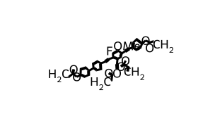 C=CC(=O)OC#Cc1c(C#Cc2ccc(-c3ccc(OC(=O)C=C)cc3)cc2)c(F)c(OC)c(C#Cc2ccc(OC(=O)C=C)cc2)c1OC(=O)C=C